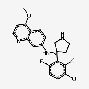 COc1ccnc2cc(N[C@]3(c4c(F)ccc(Cl)c4Cl)CCNC3)ccc12